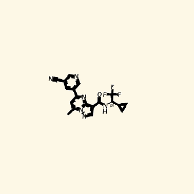 Cc1cc(-c2cncc(C#N)c2)nc2c(C(=O)N[C@@H](C3CC3)C(F)(F)F)cnn12